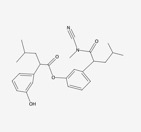 CC(C)CC(C(=O)Oc1cccc(C(CC(C)C)C(=O)N(C)C#N)c1)c1cccc(O)c1